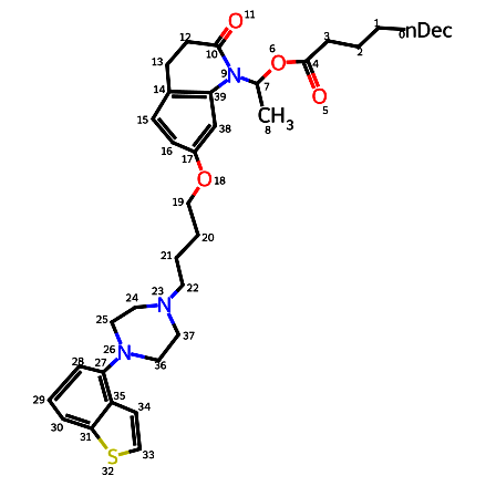 CCCCCCCCCCCCCC(=O)OC(C)N1C(=O)CCc2ccc(OCCCCN3CCN(c4cccc5sccc45)CC3)cc21